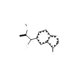 CC(C)(C)OC(=O)C(N)c1ccc2[nH]cc(Cl)c2c1